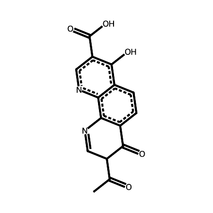 CC(=O)C1C=Nc2c(ccc3c(O)c(C(=O)O)cnc23)C1=O